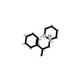 CC(C[SiH]1CCCCO1)C1=CCCCC1